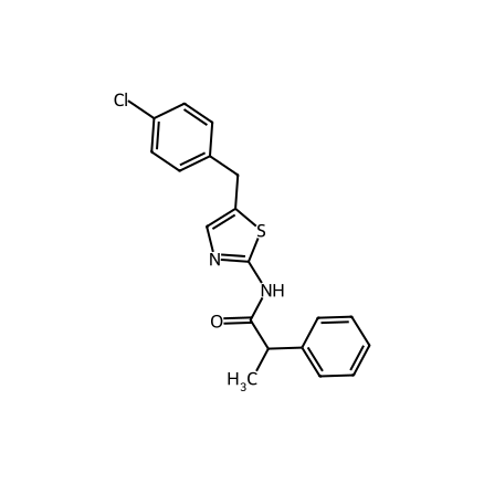 CC(C(=O)Nc1ncc(Cc2ccc(Cl)cc2)s1)c1ccccc1